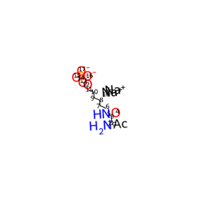 CC(=O)C(N)C(=O)NCCCCCCOOP(=O)([O-])[O-].[Na+].[Na+]